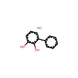 Cl.Oc1cccc(-c2ccccc2)c1O